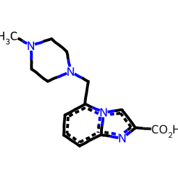 CN1CCN(Cc2cccc3nc(C(=O)O)cn23)CC1